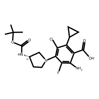 CC(C)(C)OC(=O)N[C@H]1CCN(c2c(F)c(N)c(C(=O)O)c(C3CC3)c2Cl)C1